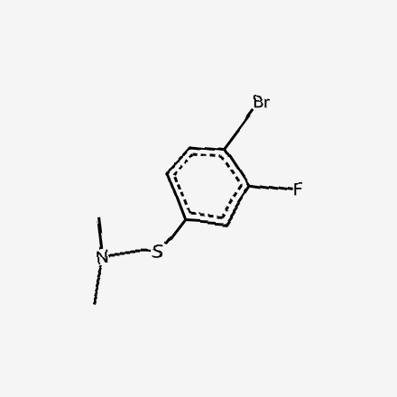 CN(C)Sc1ccc(Br)c(F)c1